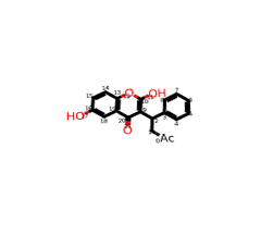 CC(=O)CC(c1ccccc1)c1c(O)oc2ccc(O)cc2c1=O